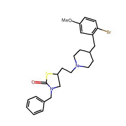 COc1ccc(Br)c(CC2CCN(CCC3CN(Cc4ccccc4)C(=O)S3)CC2)c1